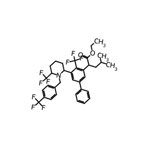 CCOC(=O)C(CC(C)C)c1cc(-c2ccccc2)cc(C2CCCC(C(F)(F)F)N2Cc2ccc(C(F)(F)F)cc2)c1C(F)(F)F